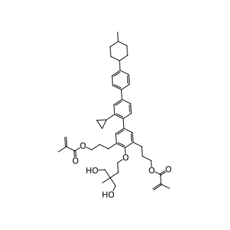 C=C(C)C(=O)OCCCc1cc(-c2ccc(-c3ccc(C4CCC(C)CC4)cc3)cc2C2CC2)cc(CCCOC(=O)C(=C)C)c1OCCC(C)(CO)CO